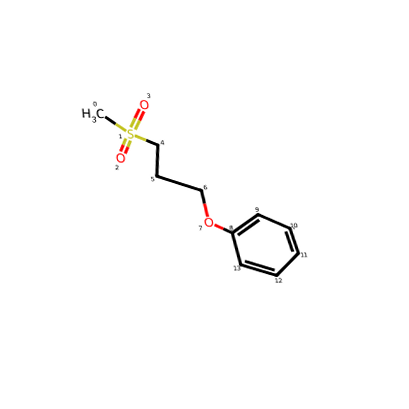 CS(=O)(=O)CCCOc1c[c]ccc1